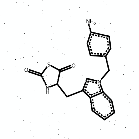 Nc1ccc(Cn2cc(CC3NC(=O)SC3=O)c3ccccc32)cc1